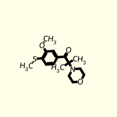 COc1cc(C(=O)C(C)(C)N2CCOCC2)ccc1SC